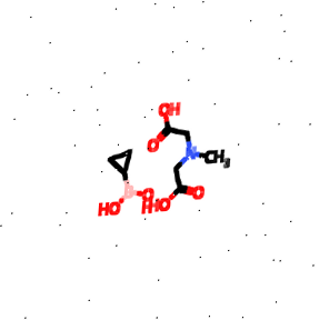 CN(CC(=O)O)CC(=O)O.OB(O)C1CC1